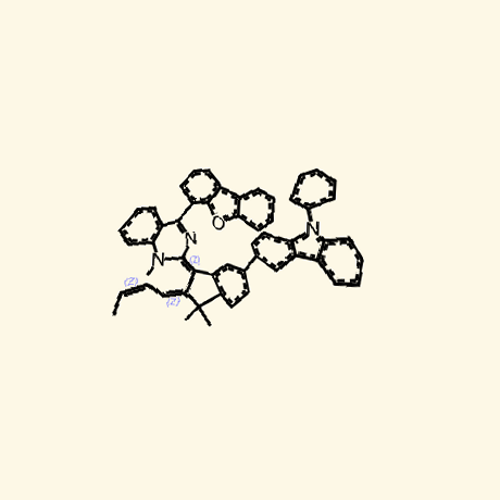 C\C=C/C=C1\C(=C2\N=C(c3cccc4c3oc3ccccc34)c3ccccc3N2C)c2cc(-c3ccc4c(c3)c3ccccc3n4-c3ccccc3)ccc2C1(C)C